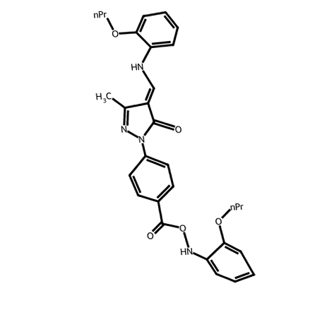 CCCOc1ccccc1NC=C1C(=O)N(c2ccc(C(=O)ONc3ccccc3OCCC)cc2)N=C1C